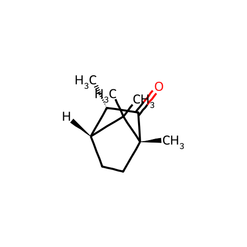 C[C@@H]1C(=O)[C@]2(C)CC[C@H]1C2(C)C